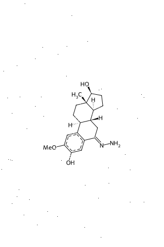 COc1cc2c(cc1O)C(=NN)C[C@@H]1[C@@H]2CC[C@]2(C)[C@@H](O)CC[C@@H]12